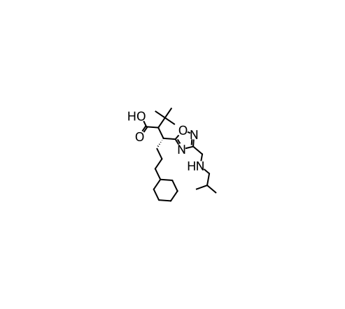 CC(C)CNCc1noc([C@H](CCCC2CCCCC2)C(C(=O)O)C(C)(C)C)n1